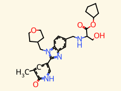 Cc1cc(-c2nc3cc(CNC(CO)C(=O)OC4CCCC4)ccc3n2CC2CCOCC2)c[nH]c1=O